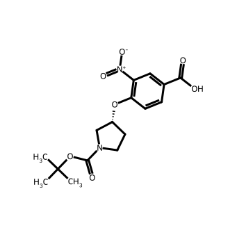 CC(C)(C)OC(=O)N1CC[C@@H](Oc2ccc(C(=O)O)cc2[N+](=O)[O-])C1